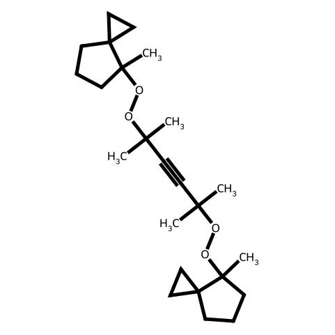 CC(C)(C#CC(C)(C)OOC1(C)CCCC12CC2)OOC1(C)CCCC12CC2